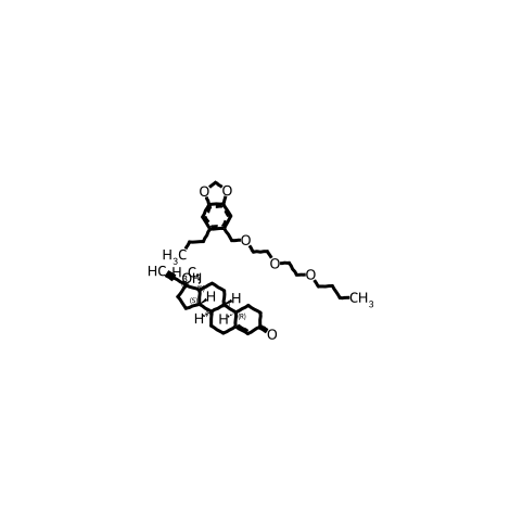 C#C[C@]1(O)CC[C@H]2[C@@H]3CCC4=CC(=O)CC[C@@H]4[C@H]3CC[C@@]21CC.CCCCOCCOCCOCc1cc2c(cc1CCC)OCO2